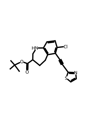 CC(C)(C)OC(=O)C1CCc2c(ccc(Cl)c2C#Cc2nccs2)NC1